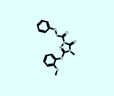 COc1ccccc1Oc1nn(C(=O)SOc2ccccc2)c(=O)n1C